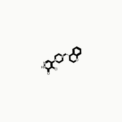 O=c1[nH]ncc(N2CCN(C[C@H]3CCOc4ccccc43)CC2)c1Cl